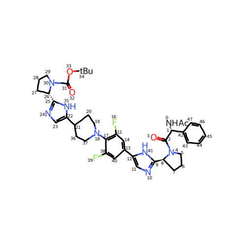 CC(=O)N[C@@H](C(=O)N1CCC[C@H]1c1ncc(-c2cc(F)c(N3CCC(c4cnc([C@@H]5CCCN5C(=O)OC(C)(C)C)[nH]4)CC3)c(F)c2)[nH]1)c1ccccc1